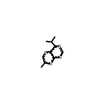 Cc1cnc2c(C(C)C)ncnc2n1